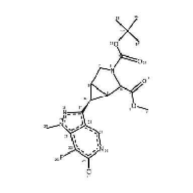 COC(=O)C1C2C(CN1C(=O)OC(C)(C)C)[C@@H]2c1nn(C)c2c(F)c(Cl)ncc12